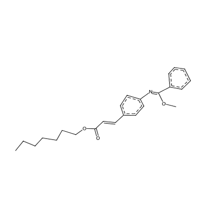 CCCCCCCOC(=O)C=Cc1ccc(N=C(OC)c2ccccc2)cc1